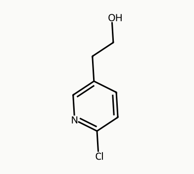 OCCc1ccc(Cl)nc1